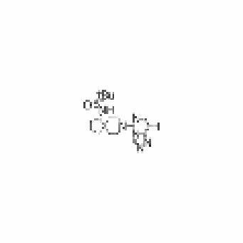 CC(C)(C)[S+]([O-])N[C@@H]1CCCC12CCN(c1ncc(I)c3nncn13)CC2